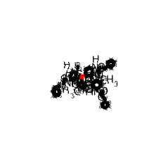 CC[C@@H]1C=C[C@@H](NC(=O)OCc2ccccc2)[C@@H](O[C@H]2[C@H](O[C@@H]3O[C@H](CC)[C@@H](O[C@H]4O[C@H](CC)C=C[C@H]4NC(=O)OCc4ccccc4)[C@H]3O)[C@@H](O)[C@H](NC(=O)OCc3ccccc3)C[C@@H]2C)O1